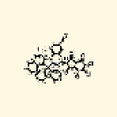 Cc1cc(C#N)cc(C)c1N1/C(=C\C=C2C(=O)c3c(Cl)c(Cl)c(Cl)c(Cl)c3C2=O)C(c2ccncc2)(c2ccncc2)c2c1ccc1ccccc21